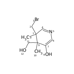 CC1(CBr)C=NC=C(O)C1(C)CO